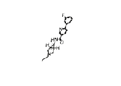 CCCN1C[C@@H]2[C@H](C1)[C@H]2NC(=O)c1ccc(-c2cccc(F)c2)nc1